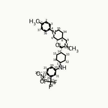 Cc1ccc(N2CCC(CN(C)C(=O)[C@H]3CC[C@H](Nc4ccc([N+](=O)[O-])c(C(F)(F)F)c4)CC3)CC2)cc1